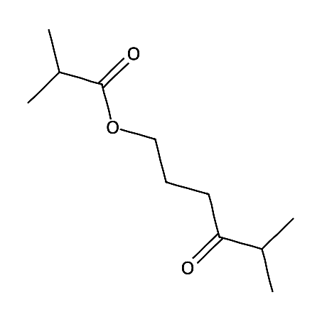 CC(C)C(=O)CCCOC(=O)C(C)C